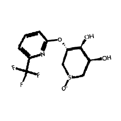 [O-][S+]1C[C@H](Oc2cccc(C(F)(F)F)n2)[C@@H](O)[C@@H](O)C1